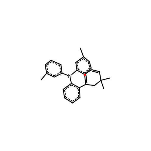 Cc1cccc(N(c2cccc(C)c2)c2ccccc2C2=CC=CC(C)(C)C2)c1